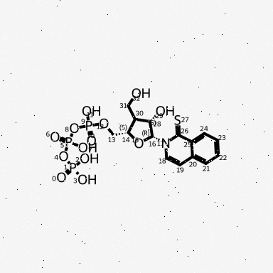 O=P(O)(O)OP(=O)(O)OP(=O)(O)OC[C@H]1O[C@@H](n2ccc3ccccc3c2=S)[C@@H](O)C1CO